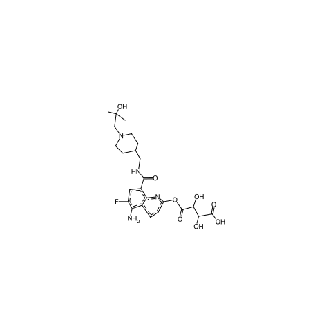 CC(C)(O)CN1CCC(CNC(=O)c2cc(F)c(N)c3ccc(OC(=O)C(O)C(O)C(=O)O)nc23)CC1